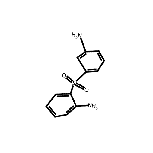 Nc1cccc(S(=O)(=O)c2ccccc2N)c1